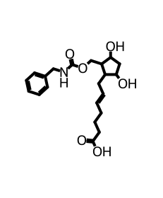 O=C(O)CCCC=CCC1C(O)CC(O)C1COC(=O)NCc1ccccc1